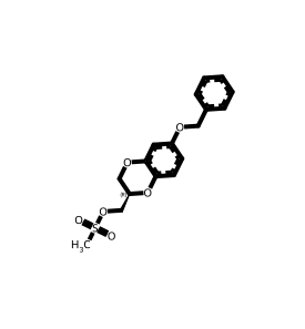 CS(=O)(=O)OC[C@H]1COc2cc(OCc3ccccc3)ccc2O1